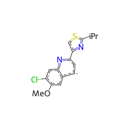 COc1cc2[c]cc(-c3csc(C(C)C)n3)nc2cc1Cl